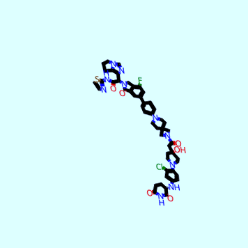 O=C1CC[C@H](Nc2ccc(N3CCC(O)(CC(=O)N4CC5(CCN(c6ccc(-c7cc(F)c8c(c7)C(=O)N(C(C(=O)Nc7nccs7)c7ncn9c7CCC9)C8)cc6)CC5)C4)CC3)c(Cl)c2)C(=O)N1